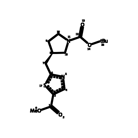 COC(=O)c1cnc(C[C@H]2CCN(C(=O)OC(C)(C)C)C2)s1